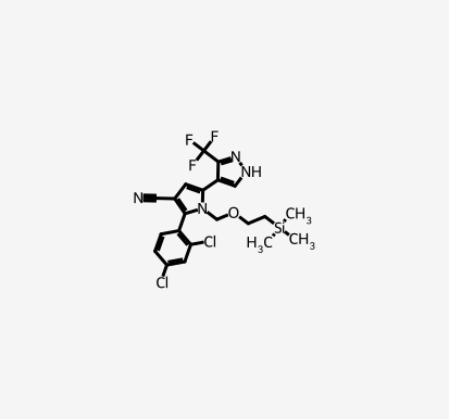 C[Si](C)(C)CCOCn1c(-c2c[nH]nc2C(F)(F)F)cc(C#N)c1-c1ccc(Cl)cc1Cl